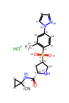 Cl.N#CC1(NC(=O)[C@@H]2C[C@@H](S(=O)(=O)c3ccc(-n4cccn4)cc3C(F)(F)F)CN2)CC1